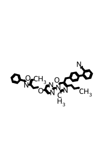 CCCCc1nc(C)n(-c2ncc(OCCc3nc(-c4ccccc4)oc3C)cn2)c(=O)c1Cc1ccc(-c2ccccc2C#N)cc1